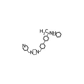 C=C(NCc1ccccc1)c1ccc(-c2ccc(CN3CCN(Cc4ccncc4)CC3)cc2)cc1